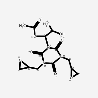 CC(=O)OC(C(C)O)n1c(=O)n(CC2CO2)c(=O)n(CC2CO2)c1=O